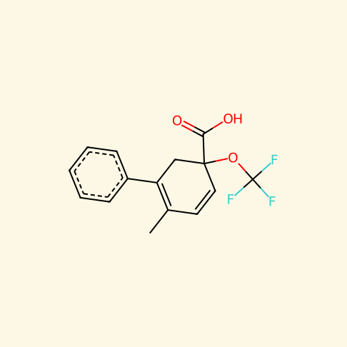 CC1=C(c2ccccc2)CC(OC(F)(F)F)(C(=O)O)C=C1